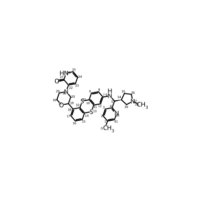 Cc1ccc(C(Nc2ccc3c(c2)Sc2cccc(C4CN(c5ccc[nH]c5=O)CCO4)c2S3)[C@H]2CCN(C)C2)nc1